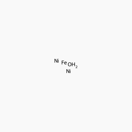 O.[Fe].[Ni].[Ni]